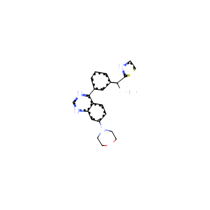 O=CC(c1cccc(-c2ncnc3cc(N4CCOCC4)ccc23)c1)c1nccs1